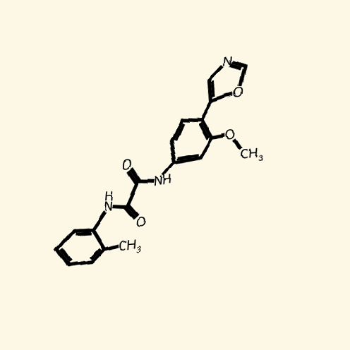 COc1cc(NC(=O)C(=O)Nc2ccccc2C)ccc1-c1cnco1